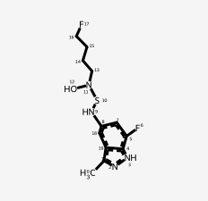 Cc1n[nH]c2c(F)cc(NSN(O)CCCCF)cc12